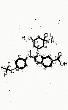 C[C@@H]1C[C@@H](n2c(Nc3ccc(OC(F)(F)F)cc3)nc3ccc(C(=O)O)cc32)CC(C)(C)C1